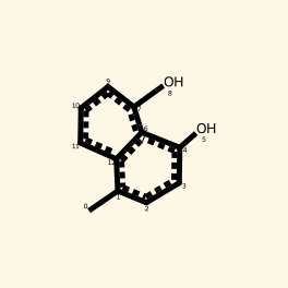 Cc1ccc(O)c2c(O)cccc12